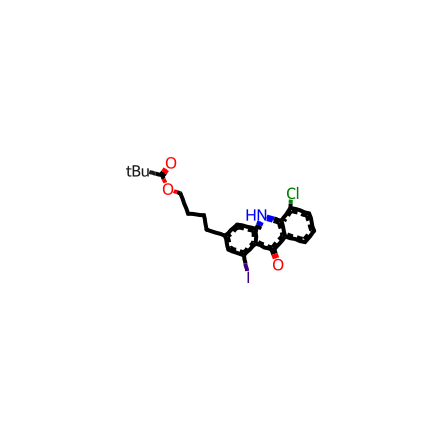 CC(C)(C)C(=O)OCCCCc1cc(I)c2c(=O)c3cccc(Cl)c3[nH]c2c1